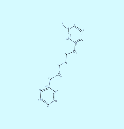 Cc1[c]ccc(OCCCOCc2ccccc2)c1